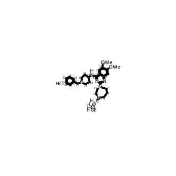 COc1cc2nc(N3CCCN(C)CC3)nc(NC3CCN(Cc4ccccc4)CC3)c2cc1OC.Cl.Cl.Cl.O